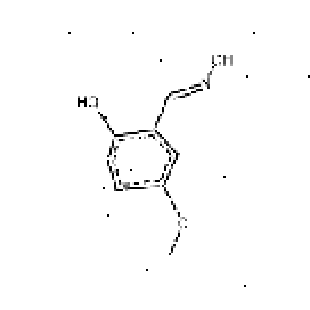 COc1ccc(O)c(C=NO)c1